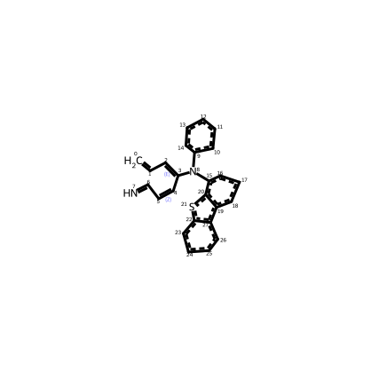 C=C/C=C(\C=C/C=N)N(c1ccccc1)c1cccc2c1sc1ccccc12